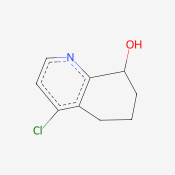 OC1CCCc2c(Cl)ccnc21